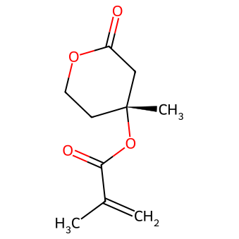 C=C(C)C(=O)O[C@]1(C)CCOC(=O)C1